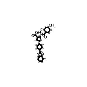 CCN(C(=O)C1CCC(C)CC1)c1nn(-c2ccc(-c3nc4ccccc4o3)cc2)cc1C(=O)O